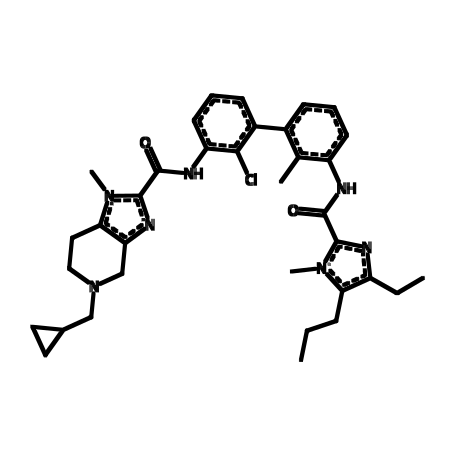 CCCc1c(CC)nc(C(=O)Nc2cccc(-c3cccc(NC(=O)c4nc5c(n4C)CCN(CC4CC4)C5)c3Cl)c2C)n1C